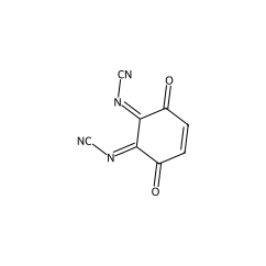 N#CN=c1c(=O)ccc(=O)c1=NC#N